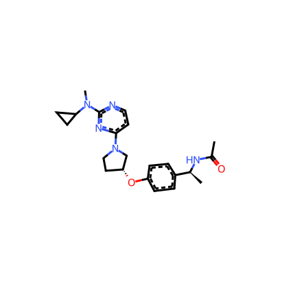 CC(=O)N[C@@H](C)c1ccc(O[C@@H]2CCN(c3ccnc(N(C)C4CC4)n3)C2)cc1